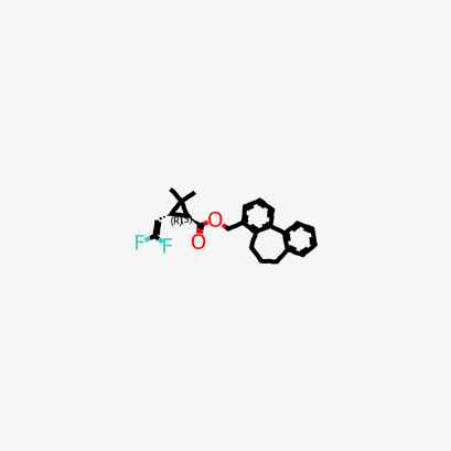 CC1(C)[C@@H](C=C(F)F)[C@@H]1C(=O)OCc1cccc2c1CCCc1ccccc1-2